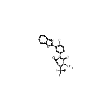 Cn1c(C(F)(F)F)cc(=O)n(-c2ccc(Cl)c(-c3nc4ccccc4s3)c2)c1=O